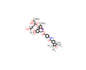 COC(=O)CC(O)(CCCC(C)(C)O)C(=O)O[C@@H]1C(OC)=C[C@]23CCCN2C(OC(=O)c2ccc(NC(=O)c4ccc5c(c4)C(C)(C)C(=O)C5(C)C)cc2)Cc2cc4c(cc2[C@H]13)OCO4